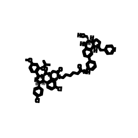 COc1ccc(C2=N[C@H](c3ccc(Cl)cc3)[C@H](c3ccc(Cl)cc3)N2C(=O)N2CCN(CCCCCC(=O)Nc3cccc(-c4ccc5c(c4)[C@H]4[C@H](CCN4Cc4ccncc4)[C@@H](CO)N5)c3)C(=O)C2)c(OC(C)C)c1